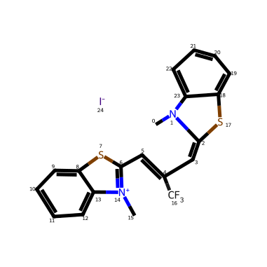 CN1C(=CC(=Cc2sc3ccccc3[n+]2C)C(F)(F)F)Sc2ccccc21.[I-]